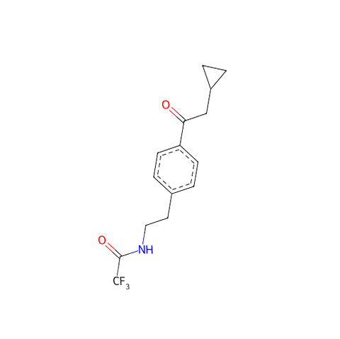 O=C(CC1CC1)c1ccc(CCNC(=O)C(F)(F)F)cc1